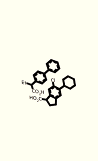 CCC(C(=O)O)c1ccc(-c2ccccc2)cc1.O=C(O)C1CCc2cc(C3CCCCC3)c(Cl)cc21